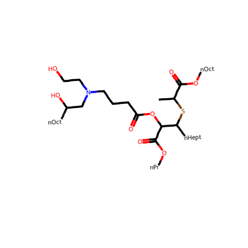 CCCCCCCCOC(=O)C(C)SC(CCCCCCC)C(OC(=O)CCCN(CCO)CC(O)CCCCCCCC)C(=O)OCCC